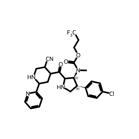 CN(C(=O)OCCC(F)(F)F)[C@@H]1C(C(=O)C2CC(c3ccccn3)NCC2C#N)NC[C@H]1c1ccc(Cl)cc1